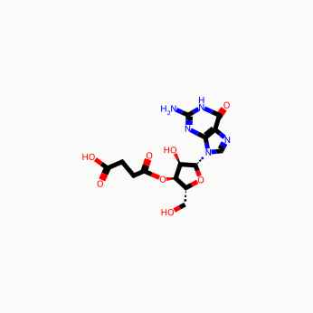 Nc1nc2c(ncn2[C@@H]2O[C@H](CO)[C@@H](OC(=O)CCC(=O)O)[C@H]2O)c(=O)[nH]1